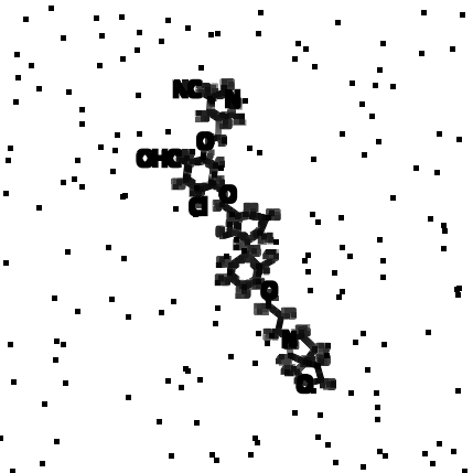 Cc1c(COc2cc(OCc3cncc(C#N)c3)c(C=O)cc2Cl)cccc1-c1cccc(OCCCN2CCC3(CCOC3)C2)c1C